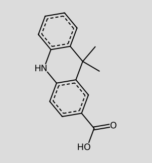 CC1(C)c2ccccc2Nc2ccc(C(=O)O)cc21